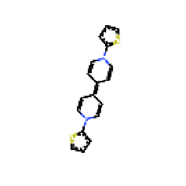 C1=CN(c2cccs2)C=CC1=C1C=CN(c2cccs2)C=C1